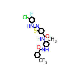 Cc1ccc(NC(=O)c2cccc(C(F)(F)F)c2)cc1NC(=O)c1ccc2nc(Nc3ccc(F)c(Cl)c3)sc2c1